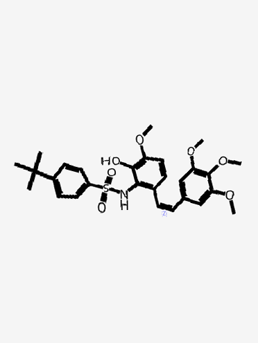 COc1ccc(/C=C\c2cc(OC)c(OC)c(OC)c2)c(NS(=O)(=O)c2ccc(C(C)(C)C)cc2)c1O